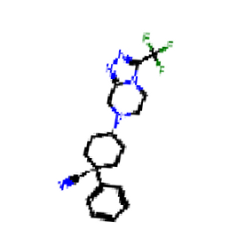 N#C[C@]1(c2ccccc2)CC[C@H](N2CCn3c(nnc3C(F)(F)F)C2)CC1